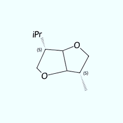 CC(C)[C@H]1COC2C1OC[C@@H]2C